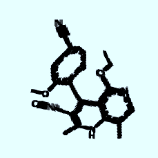 [C-]#[N+]C1=C(C)Nc2c(C)cnc(OCC)c2C1c1ccc(C#N)cc1OC